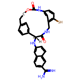 N=C(N)c1ccc2cc(N[C@H]3C(=O)NCc4cc(ccc4S)NC(=O)OCCc4ccc3cc4)ccc2c1